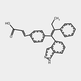 CC/C(=C(\c1ccc(C=CC(=O)O)cc1)c1cccc2[nH]ncc12)c1ccccc1